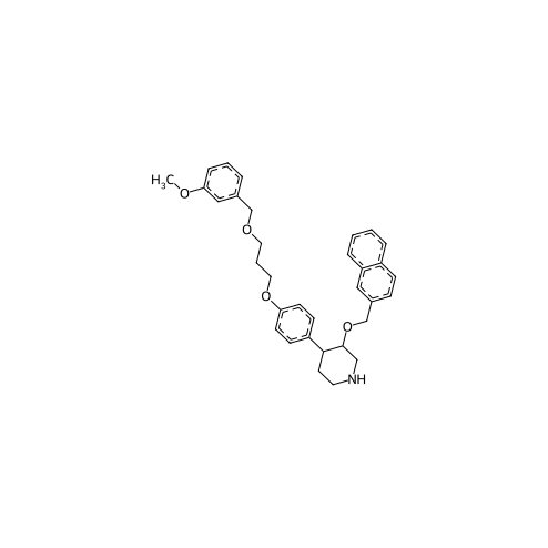 COc1cccc(COCCCOc2ccc(C3CCNCC3OCc3ccc4ccccc4c3)cc2)c1